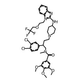 COc1cc(C(=O)N(C)CC(CCN2CCC(Nc3nc4ccccc4n3CCOCC(F)(F)F)CC2)c2ccc(Cl)c(Cl)c2)cc(OC)c1OC